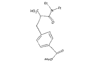 CCN(CC)C(=O)C(Cc1ccc(C(=O)OC)cc1)C(=O)O